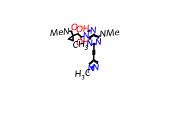 CNC(=O)C1([C@@H](O)C(O)n2cnc3c(NC)nc(C#Cc4cnn(C)c4)nc32)CC1C